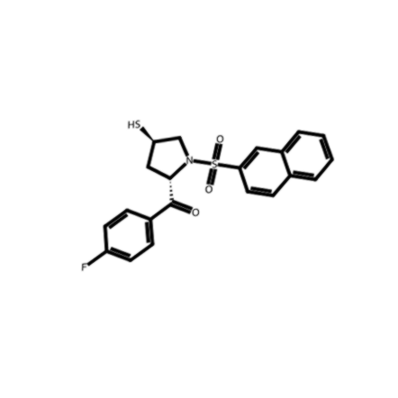 O=C(c1ccc(F)cc1)[C@@H]1C[C@@H](S)CN1S(=O)(=O)c1ccc2ccccc2c1